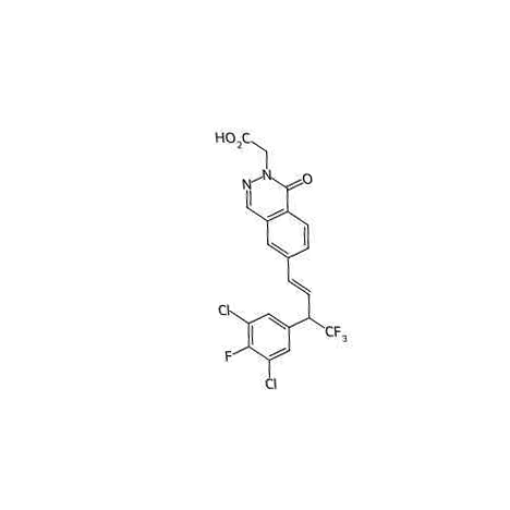 O=C(O)Cn1ncc2cc(/C=C/C(c3cc(Cl)c(F)c(Cl)c3)C(F)(F)F)ccc2c1=O